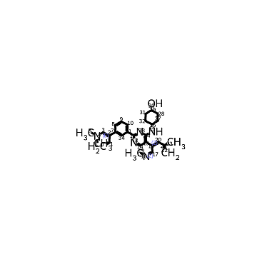 C=C/C(=C\N(C)C)c1cccc(-c2ncc(C(/C=N\C)=C/C(=C)C)c(N[C@H]3CC[C@@H](O)CC3)n2)c1